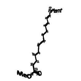 CCCCCC=CC=CCCCCCCCCC(=O)OC